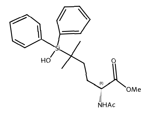 COC(=O)[C@@H](CCC(C)(C)[Si](O)(c1ccccc1)c1ccccc1)NC(C)=O